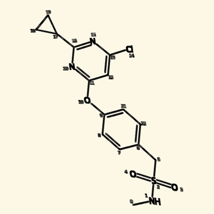 CNS(=O)(=O)Cc1ccc(Oc2cc(Cl)nc(C3CC3)n2)cc1